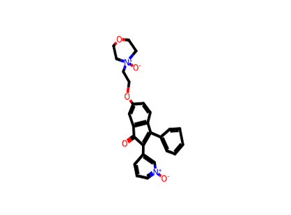 O=C1C(c2ccc[n+]([O-])c2)=C(c2ccccc2)c2ccc(OCC[N+]3([O-])CCOCC3)cc21